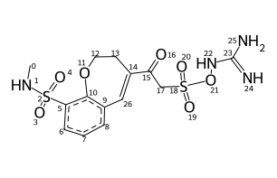 CNS(=O)(=O)c1cccc2c1OCCC(C(=O)CS(=O)(=O)ONC(=N)N)=C2